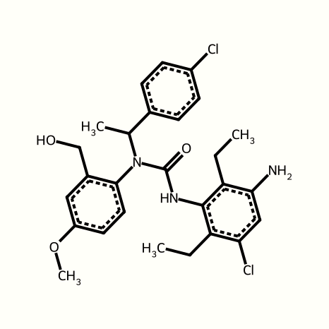 CCc1c(N)cc(Cl)c(CC)c1NC(=O)N(c1ccc(OC)cc1CO)C(C)c1ccc(Cl)cc1